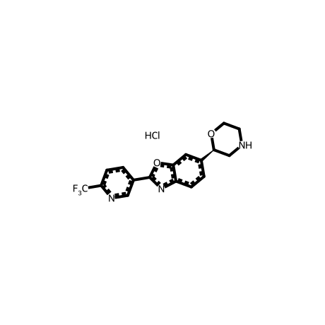 Cl.FC(F)(F)c1ccc(-c2nc3ccc([C@@H]4CNCCO4)cc3o2)cn1